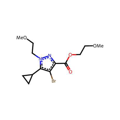 COCCOC(=O)c1nn(CCOC)c(C2CC2)c1Br